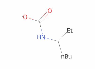 CCCCC(CC)NC([O])=O